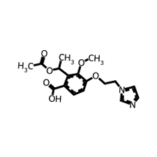 COc1c(OCCn2ccnc2)ccc(C(=O)O)c1C(C)OC(C)=O